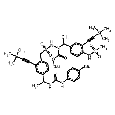 CC(NC(=O)Nc1ccc(C(C)(C)C)cc1)c1ccc(CS(=O)(=O)NN(C(=O)OC(C)(C)C)C(C)c2ccc(NS(C)(=O)=O)c(C#C[Si](C)(C)C)c2)c(C#C[Si](C)(C)C)c1